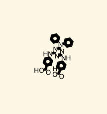 O=C(O)c1ccc(Nc2nc(Nc3ccc(C(=O)O)cc3)nc(N(c3ccccc3)c3ccccc3)n2)cc1